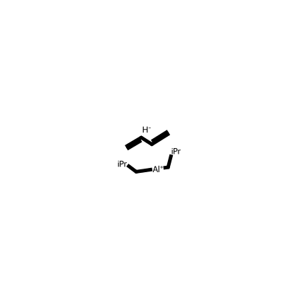 C=CC=C.CC(C)[CH2][Al+][CH2]C(C)C.[H-]